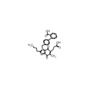 CCCCc1nc2c(n1Cc1ccc(-c3ccccc3C(=O)O)cc1)C(=O)C(CCC(=O)O)=C(C)C2=O